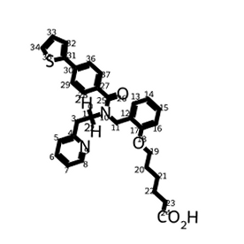 [2H]C([2H])(Cc1ccccn1)N(Cc1ccccc1OCCCCCC(=O)O)C(=O)c1ccc(-c2cccs2)cc1